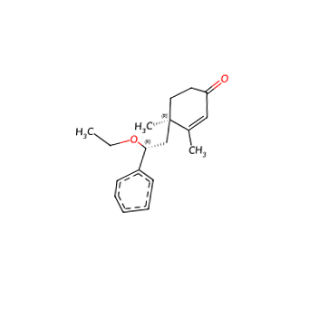 CCO[C@H](C[C@@]1(C)CCC(=O)C=C1C)c1ccccc1